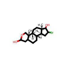 C[C@]12COC(O)CC1CC[C@@H]1[C@H]2CC[C@]2(C)C(O)C(Br)C[C@@H]12